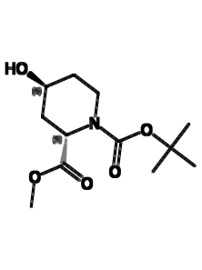 COC(=O)[C@@H]1C[C@@H](O)CCN1C(=O)OC(C)(C)C